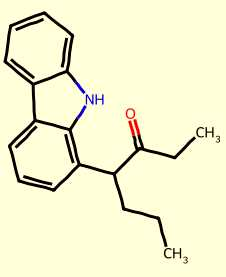 CCCC(C(=O)CC)c1cccc2c1[nH]c1ccccc12